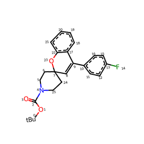 CC(C)(C)OC(=O)N1CCC2(C=C(c3ccc(F)cc3)c3ccccc3O2)CC1